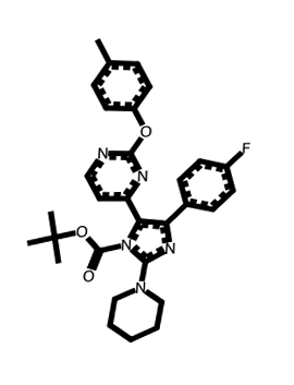 Cc1ccc(Oc2nccc(-c3c(-c4ccc(F)cc4)nc(N4CCCCC4)n3C(=O)OC(C)(C)C)n2)cc1